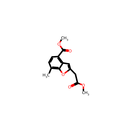 COC(=O)Cc1cc2c(C(=O)OC)ccc(C)c2o1